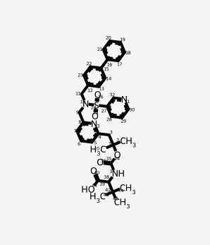 CC(C)(Cc1cccc(CN(Cc2ccc(-c3ccccc3)cc2)S(=O)(=O)c2cccnc2)n1)OC(=O)NC(C(=O)O)C(C)(C)C